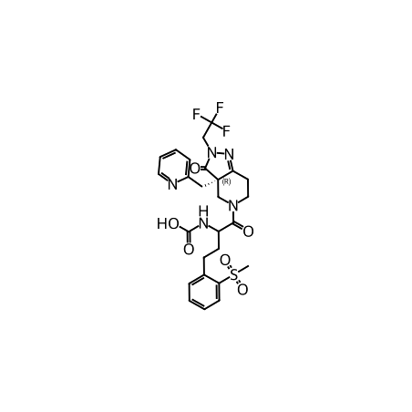 CS(=O)(=O)c1ccccc1CCC(NC(=O)O)C(=O)N1CCC2=NN(CC(F)(F)F)C(=O)[C@]2(Cc2ccccn2)C1